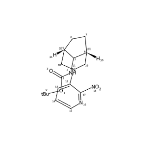 CC(C)(C)OC(=O)NC1[C@@H]2CC[C@H]1CN(c1cccnc1[N+](=O)[O-])C2